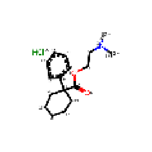 CC(C)N(CCOC(=O)C1(c2ccccc2)CCCCC1)C(C)C.Cl